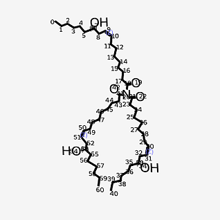 CCCCCC[C@@H](O)C/C=C\CCCCCCCC(=O)N(C(=O)CCCCCCC/C=C\C[C@H](O)CCCCCC)C(=O)CCCCCCC/C=C\C[C@H](O)CCCCCC